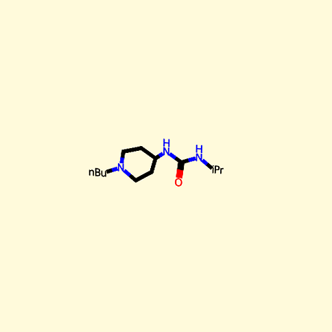 CCCCN1CCC(NC(=O)NC(C)C)CC1